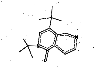 CC(C)(C)c1cn(C(C)(C)C)c(=O)c2ccncc12